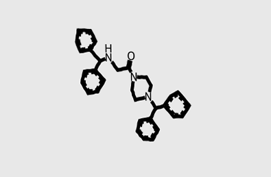 O=C(CNC(c1ccccc1)c1ccccc1)N1CCN(C(c2ccccc2)c2ccccc2)CC1